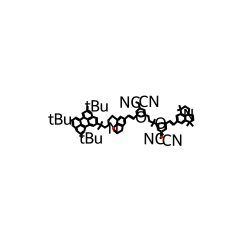 CC(C)(CCC1=CC(C(C#N)C#N)C=C(/C=C/c2cc3c4c(c2)CCC(CC(C)(C)c2cc5cc(C(C)(C)C)cc6c7cc(C(C)(C)C)cc8cc(C(C)(C)C)cc(c(c2)c56)c87)N4CCC3)O1)C1=CC(=C(C#N)C#N)C=C(/C=C/c2cc3c4c(c2)C(C)(C)CCN4CCC3(C)C)O1